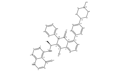 C[C@H](Nc1ncnc2[nH]ccc(=O)c12)c1c(Cl)c2cccc(-c3ccc(C4CCN(C)CC4)cc3)c2c(=O)n1-c1ccccc1